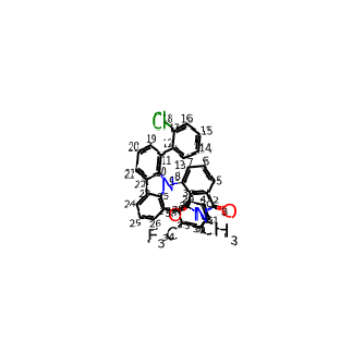 CN1C(=O)c2cccc(-n3c4c(-c5ccccc5Cl)cccc4c4cccc(-c5ccccc5C(F)(F)F)c43)c2C1=O